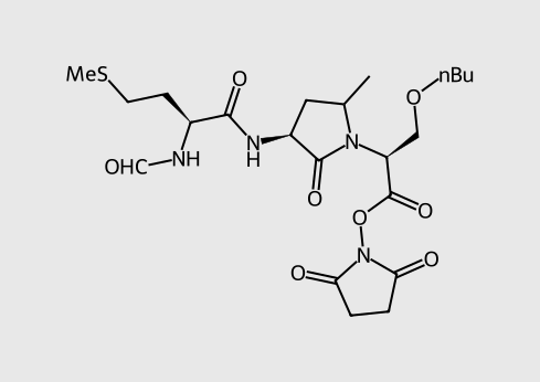 CCCCOC[C@@H](C(=O)ON1C(=O)CCC1=O)N1C(=O)[C@@H](NC(=O)[C@H](CCSC)NC=O)CC1C